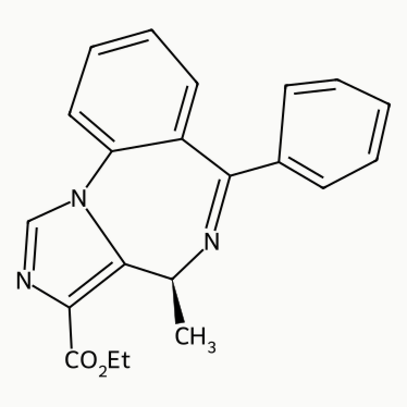 CCOC(=O)c1ncn2c1[C@H](C)N=C(c1ccccc1)c1ccccc1-2